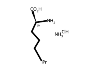 CC(C)CCC[C@H](N)C(=O)O.Cl.N